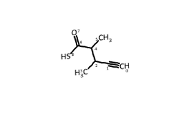 C#CC(C)C(C)C(=O)S